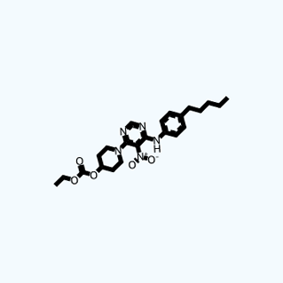 CCCCCc1ccc(Nc2ncnc(N3CCC(OC(=O)OCC)CC3)c2[N+](=O)[O-])cc1